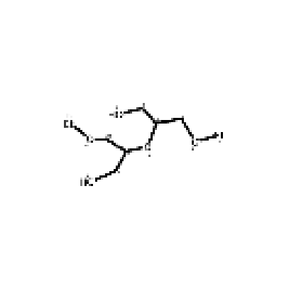 CCOCC(CO)OC(CO)COCC